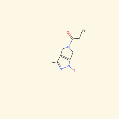 Cc1nn(I)c2c1CN(C(=O)CC(C)C)C2